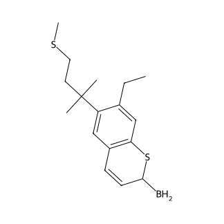 BC1C=Cc2cc(C(C)(C)CCSC)c(CC)cc2S1